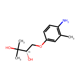 Cc1cc(OC[C@H](O)C(C)(C)O)ccc1N